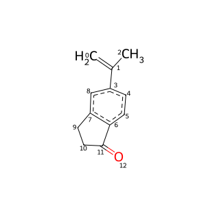 C=C(C)c1ccc2c(c1)CCC2=O